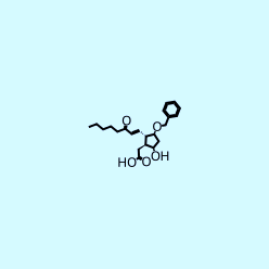 CCCCCC(=O)C=C[C@H]1[C@H](CC(=O)O)[C@H](O)C[C@@H]1OCc1ccccc1